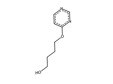 OCCCCOc1ccncn1